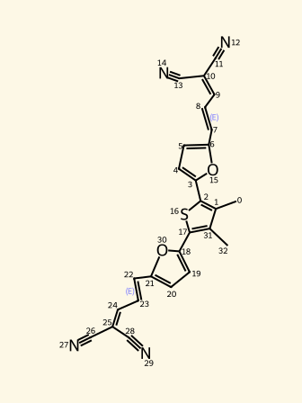 Cc1c(-c2ccc(/C=C/C=C(C#N)C#N)o2)sc(-c2ccc(/C=C/C=C(C#N)C#N)o2)c1C